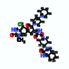 Cn1c(=O)[nH]c2c(Cl)cc(CC(NC(=O)ON3CCC(N4Cc5ccccc5NC4=O)CC3)C(=O)N3CCC(N4CCCCC4)CC3)cc21